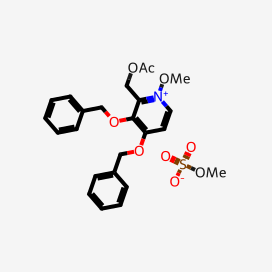 COS(=O)(=O)[O-].CO[n+]1ccc(OCc2ccccc2)c(OCc2ccccc2)c1COC(C)=O